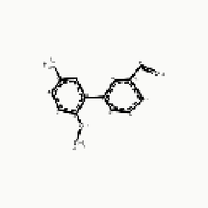 COc1[c]cc(C)cc1-c1cccc(C=O)c1